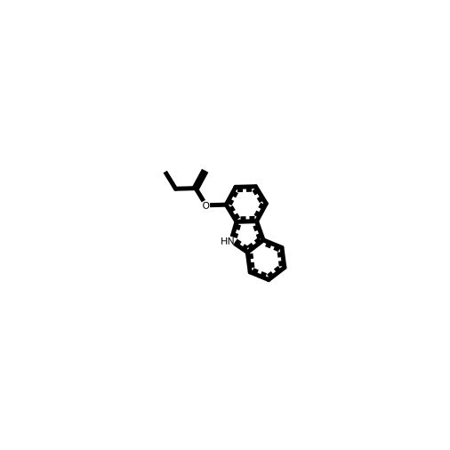 C=C(CC)Oc1cccc2c1[nH]c1ccccc12